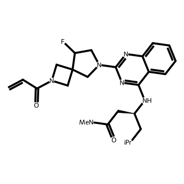 C=CC(=O)N1CC2(C1)CN(c1nc(N[C@H](CC(=O)NC)CC(C)C)c3ccccc3n1)CC2F